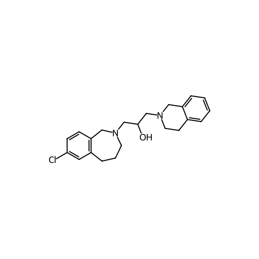 OC(CN1CCCc2cc(Cl)ccc2C1)CN1CCc2ccccc2C1